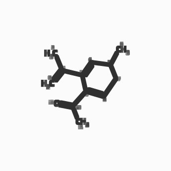 C=C(C)C1=CC(C)CC=C1C(C)=O